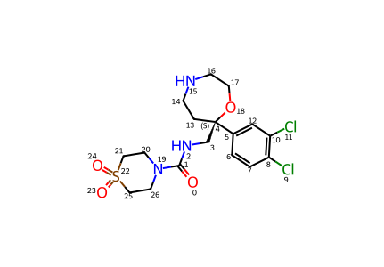 O=C(NC[C@@]1(c2ccc(Cl)c(Cl)c2)CCNCCO1)N1CCS(=O)(=O)CC1